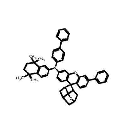 CC1(C)CCC(C)(C)c2cc(N(c3ccc(-c4ccccc4)cc3)c3ccc4c(c3)Oc3cc(-c5ccccc5)ccc3C43C4CC5CC6CC3C64C5)ccc21